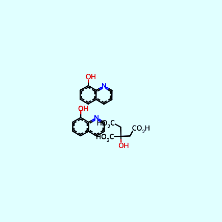 O=C(O)CC(O)(CC(=O)O)C(=O)O.Oc1cccc2cccnc12.Oc1cccc2cccnc12